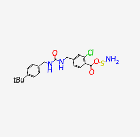 CC(C)(C)c1ccc(CNC(=O)NCc2ccc(C(=O)OSN)c(Cl)c2)cc1